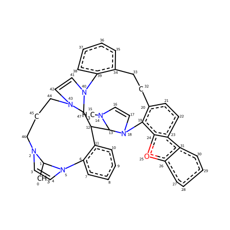 CC1N2C=CN1c1ccccc1C1C3N(C)C=CN3c3c(ccc4c3oc3ccccc34)CCc3ccccc3N3C=CN(CCC2)C13